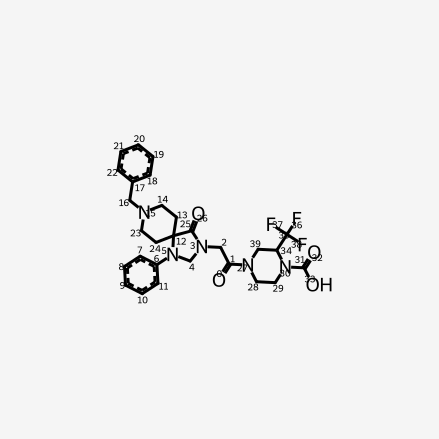 O=C(CN1CN(c2ccccc2)C2(CCN(Cc3ccccc3)CC2)C1=O)N1CCN(C(=O)O)C(C(F)(F)F)C1